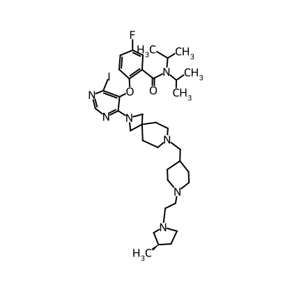 CC(C)N(C(=O)c1cc(F)ccc1Oc1c(I)ncnc1N1CC2(CCN(CC3CCN(CCN4CC[C@@H](C)C4)CC3)CC2)C1)C(C)C